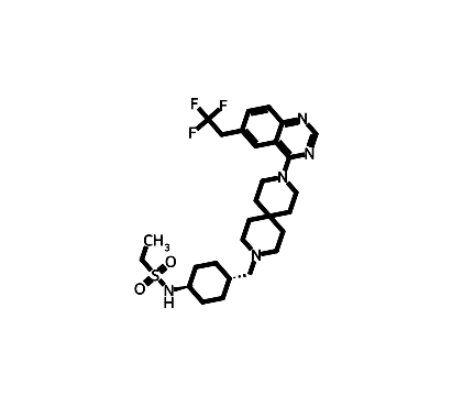 CCS(=O)(=O)N[C@H]1CC[C@H](CN2CCC3(CC2)CCN(c2ncnc4ccc(CC(F)(F)F)cc24)CC3)CC1